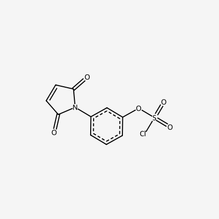 O=C1C=CC(=O)N1c1cccc(OS(=O)(=O)Cl)c1